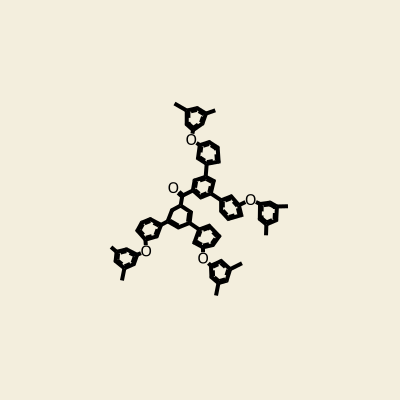 Cc1cc(C)cc(Oc2cccc(C3=CC(C(=O)c4cc(-c5cccc(Oc6cc(C)cc(C)c6)c5)cc(-c5cccc(Oc6cc(C)cc(C)c6)c5)c4)CC(c4cccc(Oc5cc(C)cc(C)c5)c4)=C3)c2)c1